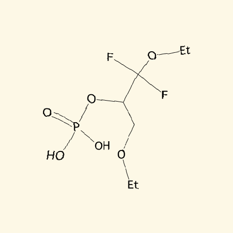 CCOCC(OP(=O)(O)O)C(F)(F)OCC